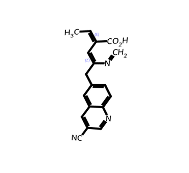 C=N/C(=C\C(=C/C)C(=O)O)Cc1ccc2ncc(C#N)cc2c1